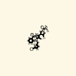 Cc1c(C2CN(C(=O)N(C)C)CC2C)nn(C(=O)c2ccccc2)c1NCc1ccc(Cl)s1